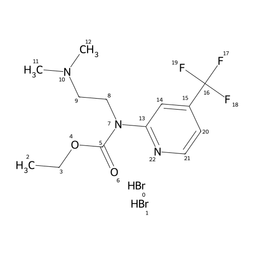 Br.Br.CCOC(=O)N(CCN(C)C)c1cc(C(F)(F)F)ccn1